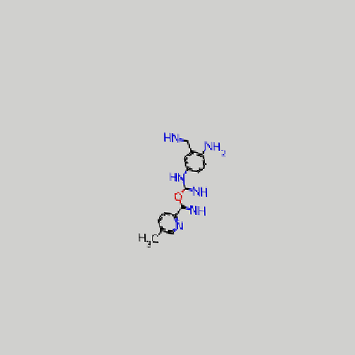 Cc1ccc(C(=N)OC(=N)Nc2ccc(N)c(C=N)c2)nc1